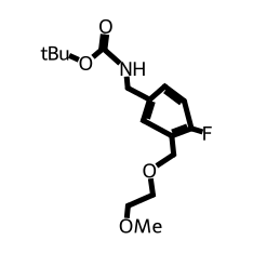 COCCOCc1cc(CNC(=O)OC(C)(C)C)ccc1F